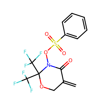 C=C1COC(C(F)(F)F)(C(F)(F)F)N(OS(=O)(=O)c2ccccc2)C1=O